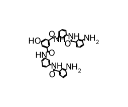 Nc1cccc(C(=O)Nc2cccc(NC(=O)c3cc(O)cc(C(=O)Nc4cccc(NC(=O)c5cccc(N)c5)c4)c3)c2)c1